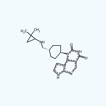 CC1(C)CC1NC[C@H]1CC[C@H](n2c(=O)[nH]c(=O)c3cnc4[nH]ccc4c32)CC1